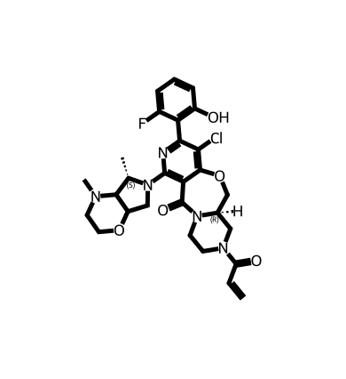 C=CC(=O)N1CCN2C(=O)c3c(N4CC5OCCN(C)C5[C@@H]4C)nc(-c4c(O)cccc4F)c(Cl)c3OC[C@H]2C1